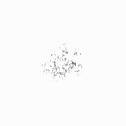 CCCC[C@H](NC(=O)[C@H](CC(C)C)NC(=O)[C@@H](NC(=O)[C@H](CC(C)C)NC(=O)[C@H](CCC(=O)Oc1ccccc1)NC(=O)[C@H](CC(=O)O)NC(=O)CCC(=O)O)C(C)(C)C)C(=O)C(N)=O